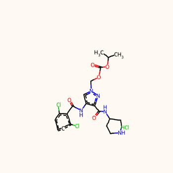 CC(C)OC(=O)OCn1cc(NC(=O)c2c(Cl)cccc2Cl)c(C(=O)NC2CCNCC2)n1.Cl